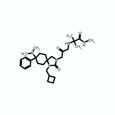 CNC(=O)C(C)(C)NCC(=O)CN1CC2(CCC(c3ccccc3)(N(C)C)CC2)N(CC2CCC2)C1=O